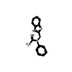 N=C(N)N(Cc1nc2ccccc2[nH]1)c1ccccc1